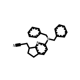 N#CCC1CCc2ccc(N(Cc3ccccc3)Cc3ccccc3)nc21